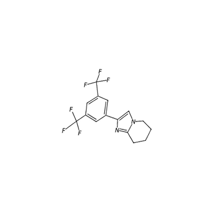 FC(F)(F)c1cc(-c2cn3c(n2)CCCC3)cc(C(F)(F)F)c1